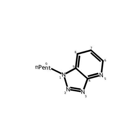 CCCCCn1nnc2ncccc21